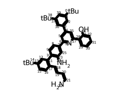 CC(C)(C)c1cc(-c2cc(-c3ccc(-c4cc(C(C)(C)C)ccc4C=C/C=C\N)c(N)c3)nc(-c3ccccc3O)c2)cc(C(C)(C)C)c1